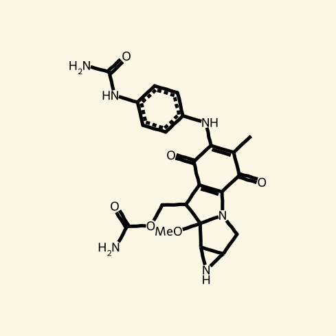 COC12C(COC(N)=O)C3=C(C(=O)C(C)=C(Nc4ccc(NC(N)=O)cc4)C3=O)N1CC1NC12